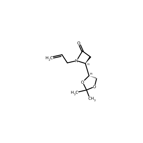 C=CCN1C(=O)C[C@H]1[C@@H]1COC(C)(C)O1